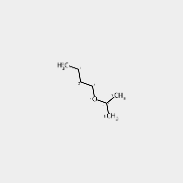 CCCCO[C](C)C